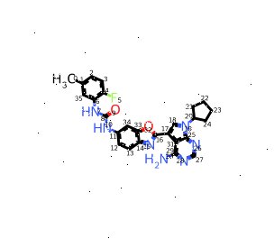 Cc1ccc(F)c(NC(=O)Nc2ccc3nc(-c4cn(C5CCCC5)c5ncnc(N)c45)oc3c2)c1